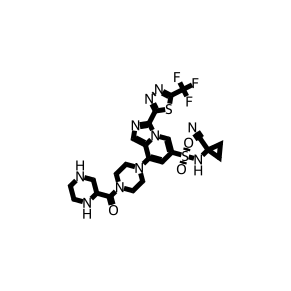 N#CC1(NS(=O)(=O)c2cc(N3CCN(C(=O)C4CNCCN4)CC3)c3cnc(-c4nnc(C(F)(F)F)s4)n3c2)CC1